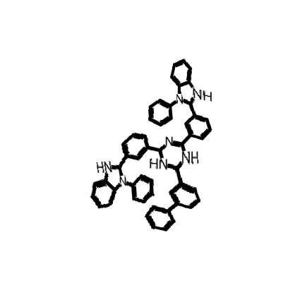 c1ccc(-c2cccc(C3NC(c4cccc(C5Nc6ccccc6N5c5ccccc5)c4)=NC(c4cccc(C5Nc6ccccc6N5c5ccccc5)c4)N3)c2)cc1